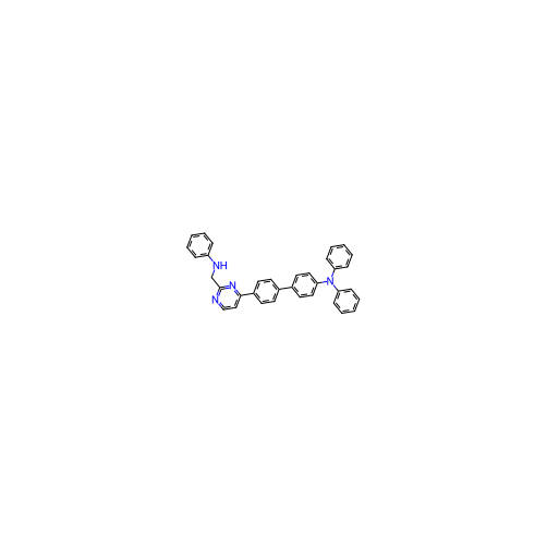 c1ccc(NCc2nccc(-c3ccc(-c4ccc(N(c5ccccc5)c5ccccc5)cc4)cc3)n2)cc1